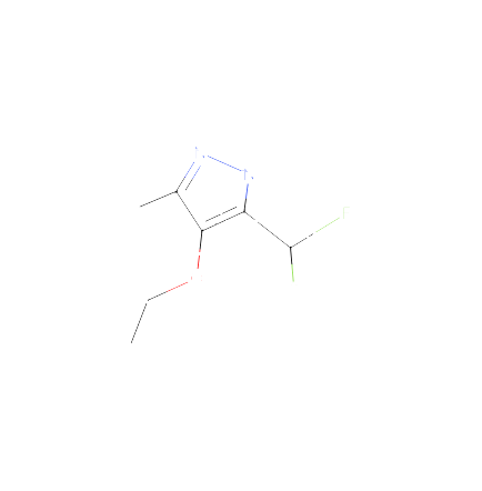 CCOC1=C(C(F)F)[N]N=C1C